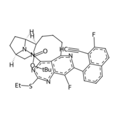 C#Cc1c(F)ccc2cccc(-c3nc4c5c(nc(SCC)nc5c3F)N3C[C@H]5CC[C@@H]([C@H]3CCC4)N5C(=O)OC(C)(C)C)c12